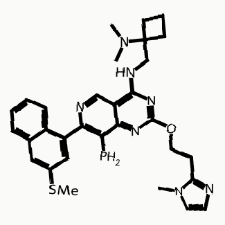 CSc1cc(-c2ncc3c(NCC4(N(C)C)CCC4)nc(OCCc4nccn4C)nc3c2P)c2ccccc2c1